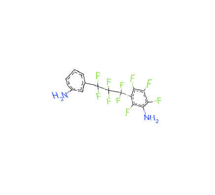 Nc1cccc(C(F)(F)C(F)(F)C(F)(F)c2c(F)c(N)c(F)c(F)c2F)c1